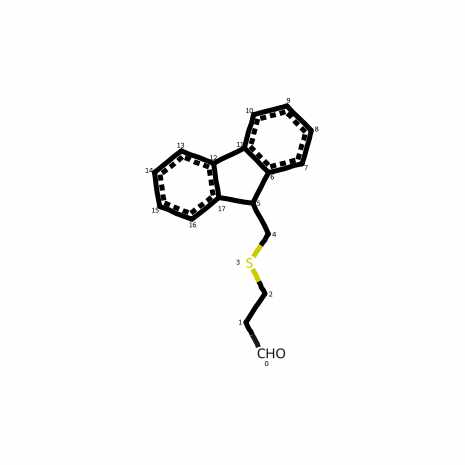 O=CCCSCC1c2ccccc2-c2ccccc21